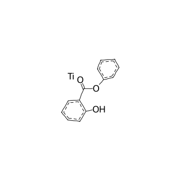 O=C(Oc1ccccc1)c1ccccc1O.[Ti]